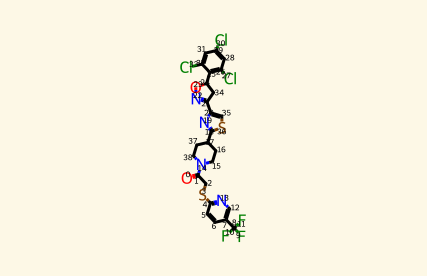 O=C(CSc1ccc(C(F)(F)F)cn1)N1CCC(c2nc(C3=NOC(c4c(Cl)cc(Cl)cc4Cl)C3)cs2)CC1